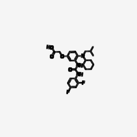 CC(C)CN(c1ccc(OCC(=O)O)cc1NC(=O)Nc1ccc(F)cc1F)C1CCCCC1